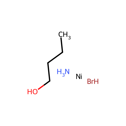 Br.CCCCO.N.[Ni]